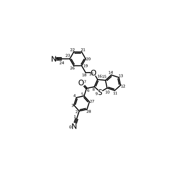 N#Cc1ccc(C(=O)c2sc3ccccc3c2OCc2cccc(C#N)c2)cc1